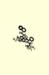 CN[C@@H](C)C(=O)N[C@H](C(=O)N1CC[C@@H]2[C@H]1[C@@H](C(=O)N[C@H]1CCCc3ccccc31)CN2S(C)(=O)=O)C1CCCCC1